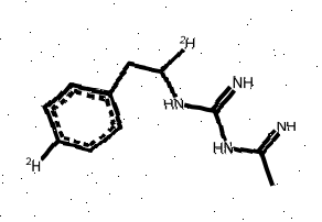 [2H]c1ccc(CC([2H])NC(=N)NC(C)=N)cc1